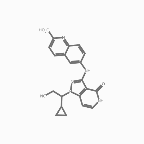 N#CCC(C1CC1)n1nc(Nc2ccc3nc(C(=O)O)ccc3c2)c2c(=O)[nH]ccc21